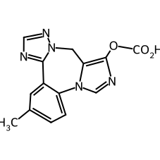 Cc1ccc2c(c1)-c1ncnn1Cc1c(OC(=O)O)ncn1-2